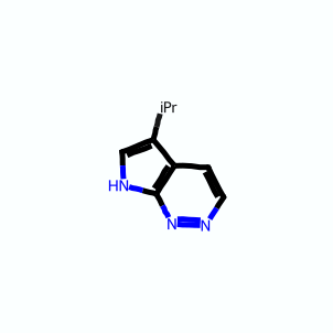 CC(C)c1c[nH]c2nnccc12